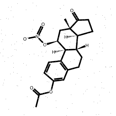 CC(=O)Oc1ccc2c(c1)CC[C@@H]1[C@@H]2[C@@H](O[N+](=O)[O-])C[C@]2(C)C(=O)CC[C@@H]12